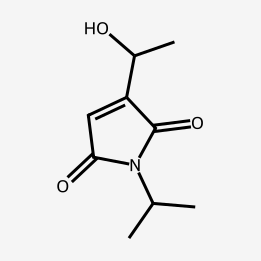 CC(O)C1=CC(=O)N(C(C)C)C1=O